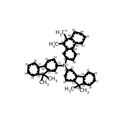 Cc1c(C)c2cc(N(c3ccc4c(c3)-c3ccccc3C4(C)C)c3ccc4c(c3)C(C)(C)c3ccccc3-4)ccc2c2ccccc12